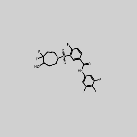 O=C(Nc1cc(F)c(F)c(F)c1)c1ccc(F)c(S(=O)(=O)N2CCC(O)C(F)(F)CC2)c1